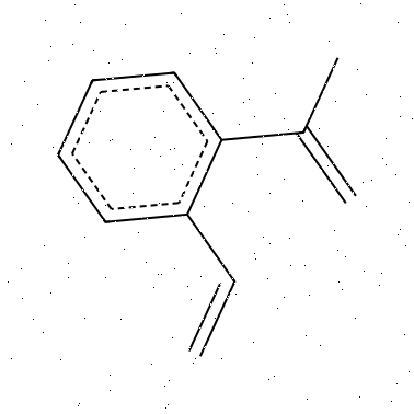 C=Cc1ccccc1C(=C)C